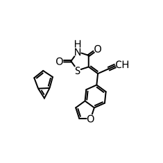 C#CC(=C1SC(=O)NC1=O)c1ccc2occc2c1.c1cc2cc-2c1